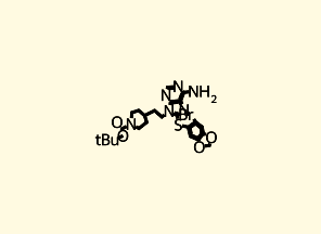 CC(C)(C)OC(=O)N1CCC(CCn2c(Sc3cc4c(cc3Br)OCO4)nc3c(N)ncnc32)CC1